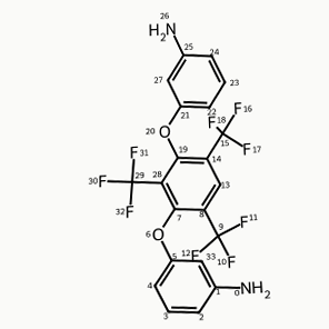 Nc1cccc(Oc2c(C(F)(F)F)cc(C(F)(F)F)c(Oc3cccc(N)c3)c2C(F)(F)F)c1